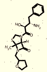 CC12SCN(C(=O)[C@@H](O)[C@@H](N)Cc3ccccc3)[C@@H]1C(=O)N2CC1CCCO1